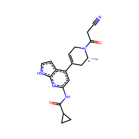 C[C@@H]1CC(c2cc(NC(=O)C3CC3)nc3[nH]ccc23)=CCN1C(=O)CC#N